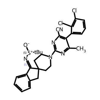 Cc1nc(N2CCC3(CC2)Cc2ccccc2/C3=N/[S@+]([O-])C(C)(C)C)nc(C#N)c1-c1cccc(Cl)c1Cl